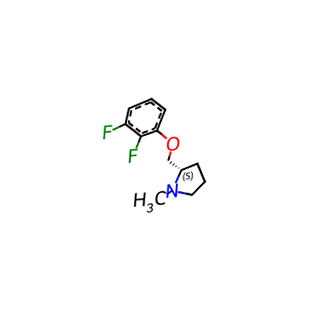 CN1CCC[C@H]1COc1cccc(F)c1F